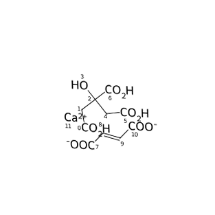 O=C(O)CC(O)(CC(=O)O)C(=O)O.O=C([O-])C=CC(=O)[O-].[Ca+2]